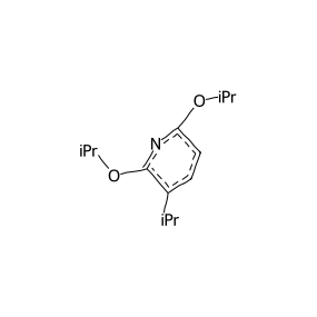 CC(C)Oc1ccc(C(C)C)c(OC(C)C)n1